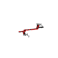 CCCCCCCCC(c1ccc(CCCCCCCCCCCCCCCCCCc2ccc(C(CCCCCCCC)c3ccc(N)cc3C)cc2)cc1)c1ccc(N)cc1C